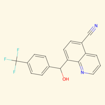 N#Cc1ccc(C(O)c2ccc(C(F)(F)F)cc2)c2ncccc12